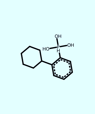 O[PH](O)(O)c1ccccc1C1CCCCC1